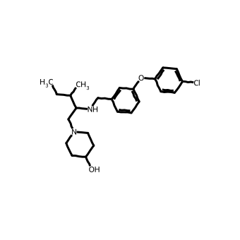 CCC(C)C(CN1CCC(O)CC1)NCc1cccc(Oc2ccc(Cl)cc2)c1